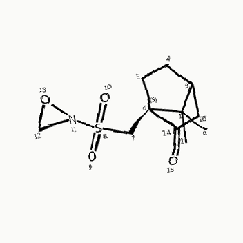 CC1(C)C2CC[C@@]1(CS(=O)(=O)N1CO1)C(=O)C2